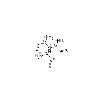 C=CC(N)[SiH](C(N)C=C)C(N)C=C